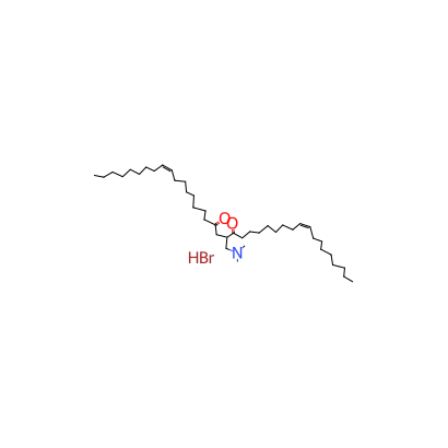 Br.CCCCCCCC/C=C\CCCCCCCC(=O)CC(CN(C)C)C(=O)CCCCCCC/C=C\CCCCCCCC